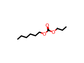 CC[CH]OC(=O)OCCCCCC